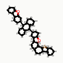 c1ccc2c(c1)oc1cc(-c3c4ccccc4c(-c4ccc5oc6c(ccc7ccc8c9ccccc9sc8c76)c5c4)c4ccccc34)ccc12